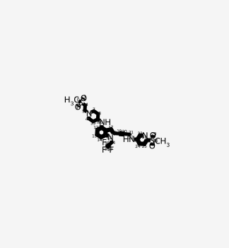 CS(=O)(=O)CCN1CCC(Nc2cccc3c2cc(C#CCNc2ccc(S(C)(=O)=O)nc2)n3CC(F)(F)F)CC1